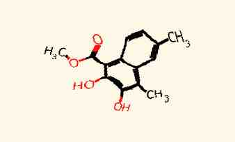 COC(=O)c1c(O)c(O)c(C)c2cc(C)ccc12